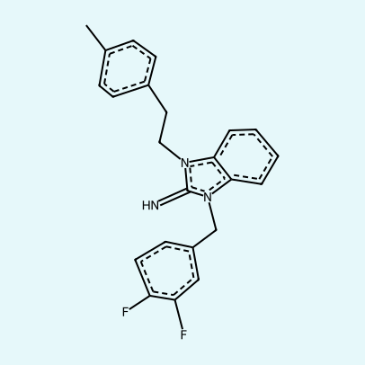 Cc1ccc(CCn2c(=N)n(Cc3ccc(F)c(F)c3)c3ccccc32)cc1